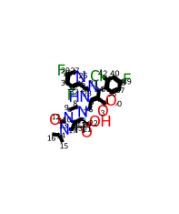 COC(=O)C1=C(CN2CCN3C(=O)N(C(C)C)C[C@H]3[C@@H]2C(=O)O)NC(c2ncc(F)cc2F)=N[C@H]1c1ccc(F)cc1Cl